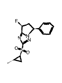 C[C@H]1C[C@@H]1S(=O)(=O)c1nc2n(n1)[C@H](c1ccccc1)C[C@@H]2F